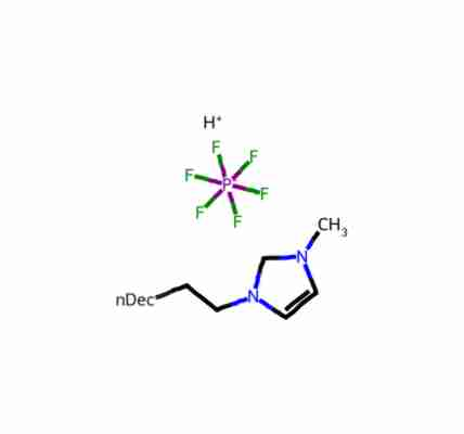 CCCCCCCCCCCCN1C=CN(C)C1.F[P-](F)(F)(F)(F)F.[H+]